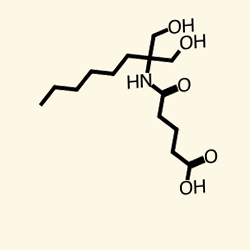 CCCCCCC(CO)(CO)NC(=O)CCCC(=O)O